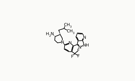 CC(C)C[C@H]1CN(c2ccc(C(F)(F)F)c(-c3n[nH]c4ncccc34)n2)CC[C@@H]1N